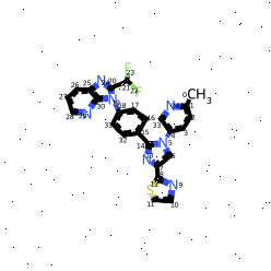 Cc1ccc(-n2cc(-c3nccs3)nc2-c2ccc(-n3c(C(F)F)nc4cccnc43)cc2)cn1